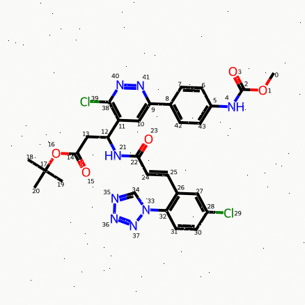 COC(=O)Nc1ccc(-c2cc(C(CC(=O)OC(C)(C)C)NC(=O)/C=C/c3cc(Cl)ccc3-n3cnnn3)c(Cl)nn2)cc1